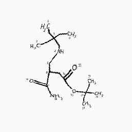 CC(C)(C)NCC(C(N)=O)C(=O)OC(C)(C)C